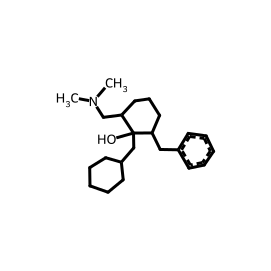 CN(C)CC1CCCC(Cc2ccccc2)C1(O)CC1CCCCC1